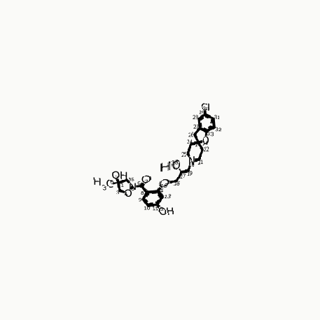 C[C@]1(O)CON(C(=O)c2ccc(O)cc2OC[C@H](O)CN2CCC3(CC2)Cc2cc(Cl)ccc2O3)C1